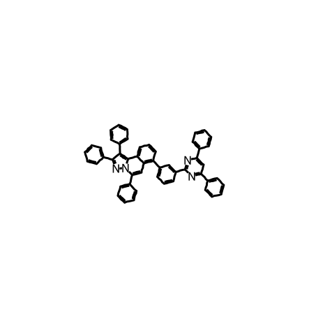 c1ccc(-c2cc(-c3ccccc3)nc(-c3cccc(-c4cccc5c4cc(-c4ccccc4)n4nc(-c6ccccc6)c(-c6ccccc6)c54)c3)n2)cc1